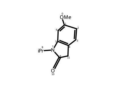 COc1ccc2c(c1)N(C(C)C)C(=O)C2